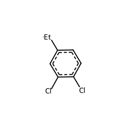 C[CH]c1ccc(Cl)c(Cl)c1